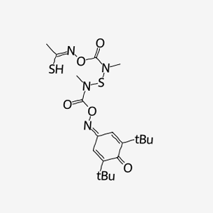 CC(S)=NOC(=O)N(C)SN(C)C(=O)ON=C1C=C(C(C)(C)C)C(=O)C(C(C)(C)C)=C1